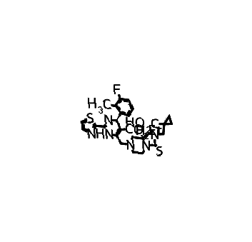 CCOC(=O)C1=C(CN2CCN3C(=S)N(CC4(C(=O)O)CC4)C[C@H]3C2)NC(c2nccs2)=N[C@H]1c1cccc(F)c1C